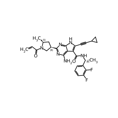 C=CC(=O)N1C[C@H](c2nc(N)c3c(C(=O)N[C@H](C)c4cccc(F)c4F)c(C#CC4CC4)[nH]c3n2)C[C@@H]1C